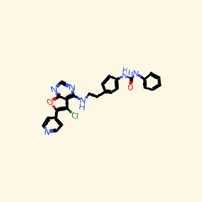 O=C(Nc1ccccc1)Nc1ccc(CCNc2ncnc3oc(-c4ccncc4)c(Cl)c23)cc1